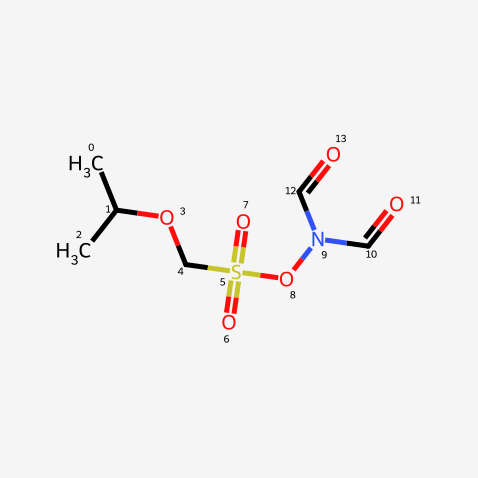 CC(C)OCS(=O)(=O)ON(C=O)C=O